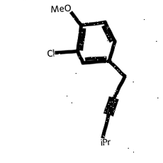 COc1ccc(CC#CC(C)C)cc1Cl